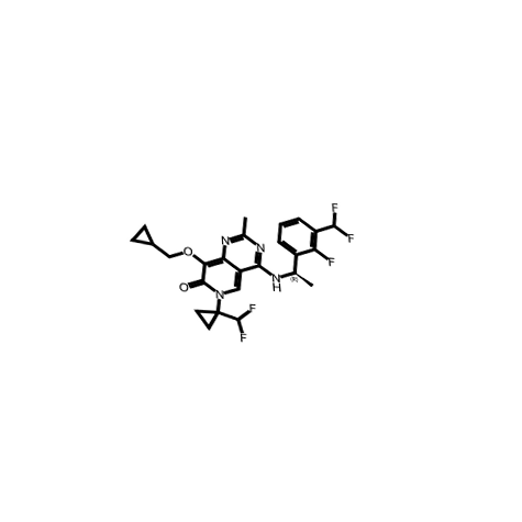 Cc1nc(N[C@H](C)c2cccc(C(F)F)c2F)c2cn(C3(C(F)F)CC3)c(=O)c(OCC3CC3)c2n1